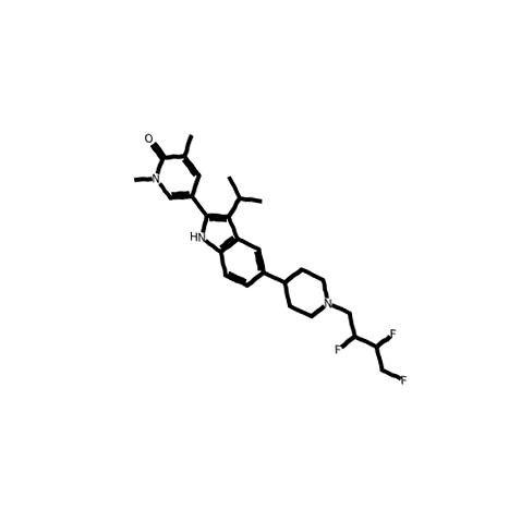 Cc1cc(-c2[nH]c3ccc(C4CCN(CC(F)C(F)CF)CC4)cc3c2C(C)C)cn(C)c1=O